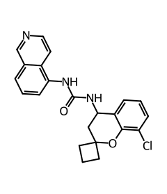 O=C(Nc1cccc2cnccc12)NC1CC2(CCC2)Oc2c(Cl)cccc21